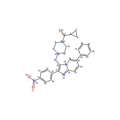 O=C(C1CC1)N1CCN(Cc2c(-c3ccc([N+](=O)[O-])cc3)nc3ccc(-c4ccccc4)cn23)CC1